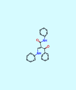 O=C(Nc1ccccc1)/C(=C/Nc1ccccc1)C(=O)c1ccccc1